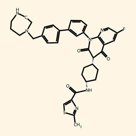 Cc1nc(C(=O)N[C@H]2CC[C@@H](C3C(=O)c4cc(F)cnc4N(c4cccc(-c5ccc(CN6CCCNCC6)cc5)c4)C3=O)CC2)cs1